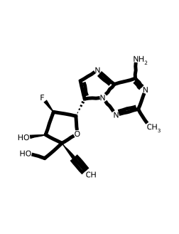 C#C[C@]1(CO)O[C@@H](c2cnc3c(N)nc(C)nn23)[C@H](F)[C@@H]1O